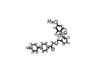 COc1cc(C)c(S(=O)(=O)N2CCCC2COCC(=O)N2CCN(C3CCN(C)CC3)CC2)c(C)c1